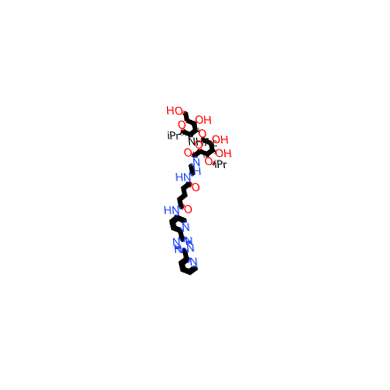 CC(=O)NC1[C@H](C(C)C)OC(CO)[C@@H](O)[C@@H]1O[C@@H]1OC(C(=O)NCCNC(=O)CCCC(=O)Nc2ccc(-c3nnc(-c4ccccn4)nn3)nc2)[C@@H](OC(C)C)[C@H](O)C1O